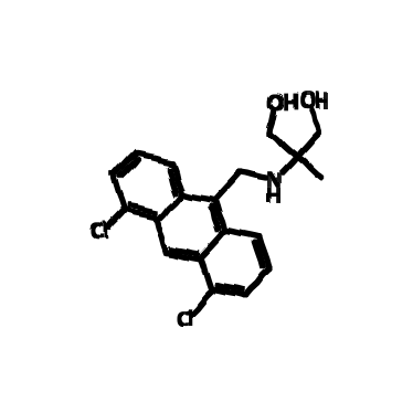 CC(CO)(CO)NCc1c2cccc(Cl)c2cc2c(Cl)cccc12